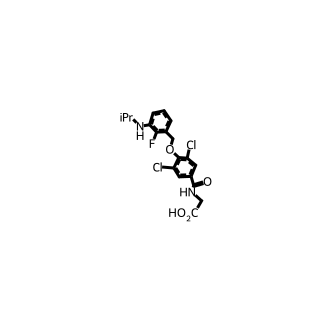 CC(C)Nc1cccc(COc2c(Cl)cc(C(=O)NCC(=O)O)cc2Cl)c1F